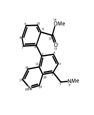 CNCc1ccc(-c2ccccc2C(=O)OC)c2ccncc12